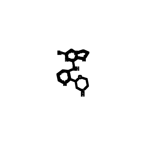 Brc1cn2ccnc2c(Nc2cccnc2C2CNCCO2)n1